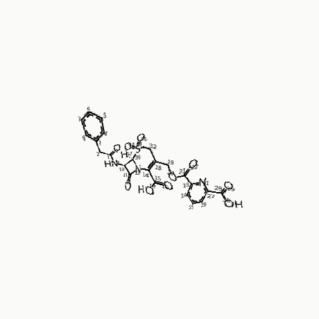 O=C(Cc1ccccc1)N[C@@H]1C(=O)N2C(C(=O)O)=C(COC(=O)c3cccc(C(=O)O)n3)CS(=O)(=O)[C@H]12